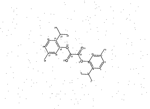 Cc1ccc(C(C)C)c(OC(=O)C(=O)Oc2cc(C)ccc2C(C)C)c1